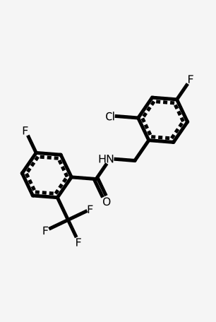 O=C(NCc1ccc(F)cc1Cl)c1cc(F)ccc1C(F)(F)F